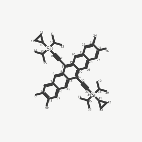 Cc1cc2cc3c(C#C[Si](C(C)C)(C(C)C)C4CC4)c4cc5cc(C)c(C)cc5cc4c(C#C[Si](C(C)C)(C(C)C)C4CC4)c3cc2cc1C